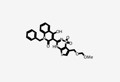 COCOCc1csc2c1S(=O)(=O)N=C(c1c(O)c3ccccc3n(Cc3ccccc3)c1=O)N2